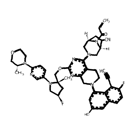 C#Cc1c(F)ccc2cc(O)cc(N3CCc4c(nc(OC[C@]5(C)C[C@@H](F)CN5c5ccc(N6CCOC[C@H]6C)nc5)nc4N4C[C@H]5CC(C#N)[C@@H](C4)N5C(=O)C=C)C3)c12